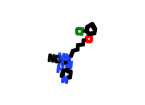 N#CN/C(=N\c1ccncc1)NCCCCCCOc1ccccc1Cl